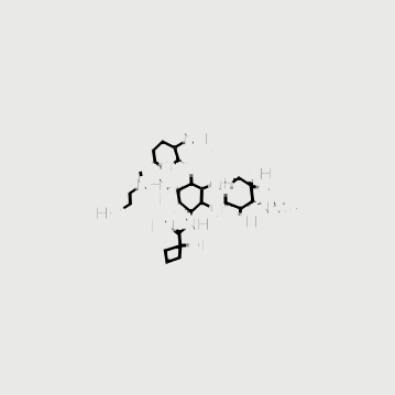 CN[C@@H]1C(O)[C@@H](OC2C(O)C(O[C@H]3O[C@H](CNCCO)CCC3N)[C@@H](N)C[C@H]2NC(=N)C2(O)CCC2)OCC1(C)O